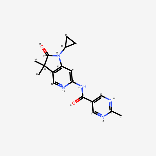 Cc1ncc(C(=O)Nc2cc3c(cn2)C(C)(C)C(=O)N3C2CC2)cn1